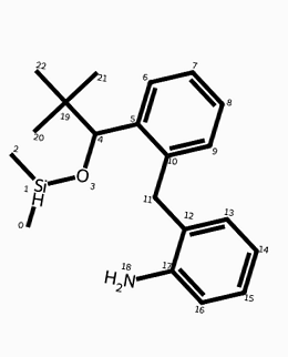 C[SiH](C)OC(c1ccccc1Cc1ccccc1N)C(C)(C)C